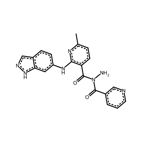 Cc1ccc(C(=O)N(N)C(=O)c2cccnc2)c(Nc2ccc3cn[nH]c3c2)n1